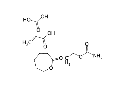 C=CC(=O)O.CCOC(N)=O.O=C(O)O.O=C1CCCCCO1